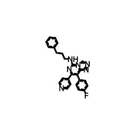 Fc1ccc(-c2c(-c3ccncc3)nc(NCCCc3ccccc3)n3cnnc23)cc1